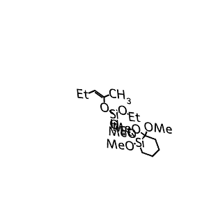 CCC=C(C)O[SiH](OCC)OCC.COC1(OC)CCCC[Si]1(OC)OC